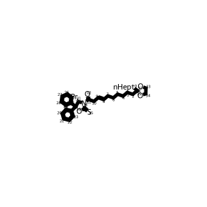 CCCCCCCC1(CCCCCC/C=C/CC(=O)N2C(=S)OC(c3ccccc3)(c3ccccc3)[C@@H]2C(C)C)OCCO1